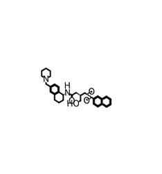 O=C(C[C@H](CO)CS(=O)(=O)c1ccc2ccccc2c1)N[C@@H]1CCCc2cc(CN3CCCCC3)ccc21